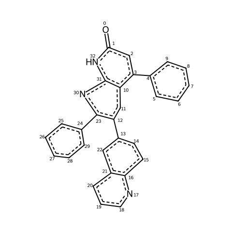 O=c1cc(-c2ccccc2)c2cc(-c3ccc4ncccc4c3)c(-c3ccccc3)nc2[nH]1